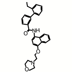 CCc1ccccc1-c1cccc(C(=O)Nc2ccc(OCCN3CCOCC3)c3ccccc23)c1